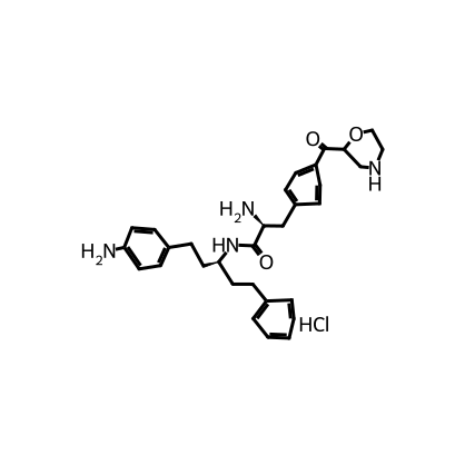 Cl.Nc1ccc(CC[C@H](CCc2ccccc2)NC(=O)[C@@H](N)Cc2ccc(C(=O)C3CNCCO3)cc2)cc1